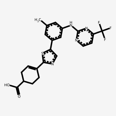 Cc1cc(Nc2nccc(C(F)(F)F)n2)cc(-c2cnc(C3=CCC(C(=O)O)CC3)s2)c1